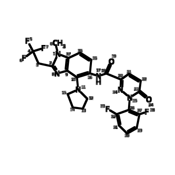 Cn1c(CC(F)(F)F)nc2c(N3CCCC3)c(NC(=O)c3ccc(=O)n(-c4c(F)cccc4F)n3)ccc21